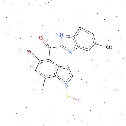 Cc1cc(Br)c(C(=O)c2nc3cc(C#N)ccc3[nH]2)c2ccn(SI)c12